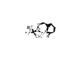 CC(C)(C)[S+]([O-])/N=C\c1cccc(Br)n1